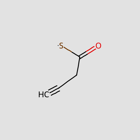 C#CCC(=O)[S]